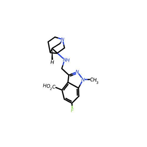 Cn1nc(CN[C@H]2CN3CCC2CC3)c2c(C(=O)O)cc(F)cc21